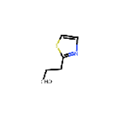 O=[C]CCc1nccs1